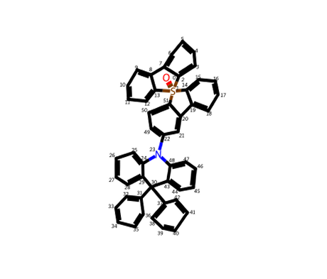 O=S12(c3ccccc3-c3ccccc31)c1ccccc1-c1cc(N3c4ccccc4C(c4ccccc4)(c4ccccc4)c4ccccc43)ccc12